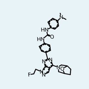 CN(C)c1ccc(NC(=O)Nc2ccc(-c3nc(N4CC5CCC(C4)O5)c4cnn(CCF)c4n3)cc2)cc1